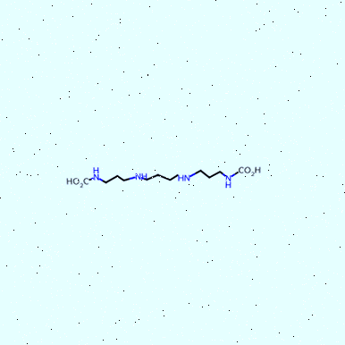 O=C(O)NCCCNCCCCNCCCNC(=O)O